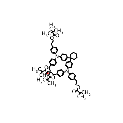 C=C(C)C(=O)OCCc1ccc(N(c2ccc(CCOC(=O)C(=C)C)cc2)c2ccc(C3(c4ccc(N(c5ccc(CCOC(=O)C(=C)C)cc5)c5ccc(CCOC(=O)C(C)(C)C)cc5)cc4)CCCCC3)cc2)cc1